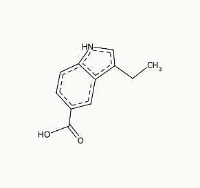 CCc1c[nH]c2ccc(C(=O)O)cc12